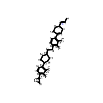 C/C=C/C1CC=C(c2ccc(CCC3CCC(c4ccc(C5CO5)c(F)c4F)CC3)c(F)c2F)CC1